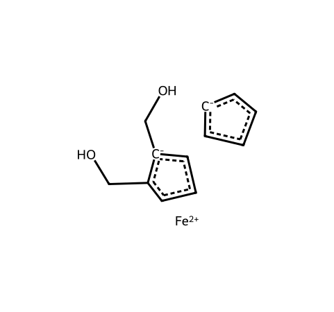 OCc1ccc[c-]1CO.[Fe+2].c1cc[cH-]c1